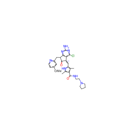 COc1ccnc(CC2C(=O)/C(=C\c3[nH]c(C)c(C(=O)NCCN4CCCC4)c3C)c3c(Cl)nc(N)nc32)c1